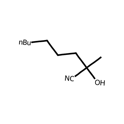 CCCCCCCC(C)(O)C#N